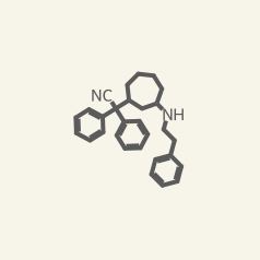 N#CC(c1ccccc1)(c1ccccc1)C1CCCCC(NCCc2ccccc2)C1